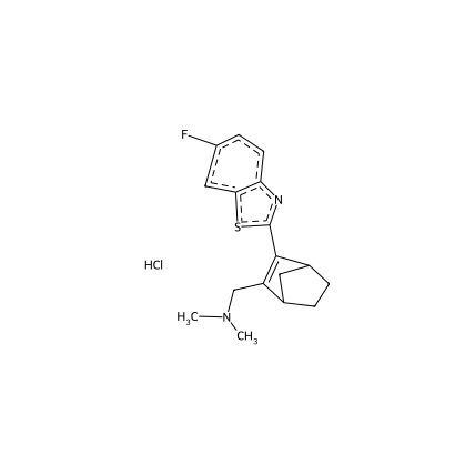 CN(C)CC1=C(c2nc3ccc(F)cc3s2)C2CCC1C2.Cl